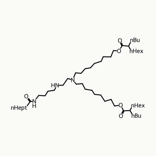 CCCCCCCC(=O)NCCCCNCCN(CCCCCCCCCOC(=O)C(CCCC)CCCCCC)CCCCCCCCCOC(=O)C(CCCC)CCCCCC